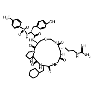 Cc1ccc(S(=O)(=O)N[C@@H](Cc2ccc(O)cc2)C(=O)N[C@H]2CCCNC(=O)[C@H](CCCNC(=N)N)NC(=O)CNC(=O)[C@@H](CC3CCCCC3)NC(=O)[C@@H]3CCCN3C2=O)cc1